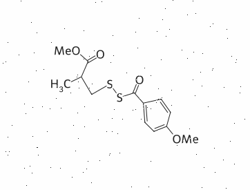 COC(=O)C(C)CSSC(=O)c1ccc(OC)cc1